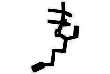 C#CCCCC(C=C)O[Si](C)(C)C(C)(C)C